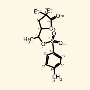 CCC1(CC)CC(C(C)OS(=O)(=O)c2ccc(C)cc2)OC1=O